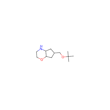 CC(C)(C)OCC1CC2NCCOC2C1